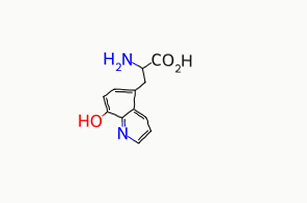 NC(Cc1ccc(O)c2ncccc12)C(=O)O